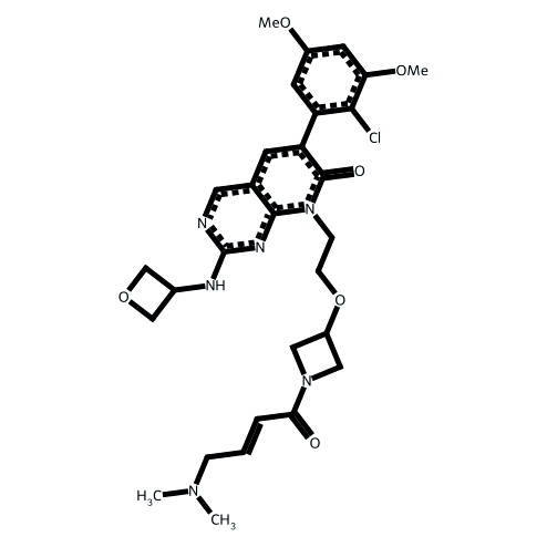 COc1cc(OC)c(Cl)c(-c2cc3cnc(NC4COC4)nc3n(CCOC3CN(C(=O)C=CCN(C)C)C3)c2=O)c1